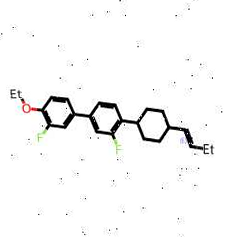 CC/C=C/C1CCC(c2ccc(-c3ccc(OCC)c(F)c3)cc2F)CC1